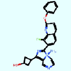 N[N+]12C=CN=CC1=C(C1CC(O)C1)N=C2c1ccc2ccc(Oc3ccccc3)nc2c1F